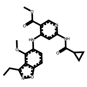 CCc1noc2ccc(Nc3cc(NC(=O)C4CC4)ncc3C(=O)OC)c(OC)c12